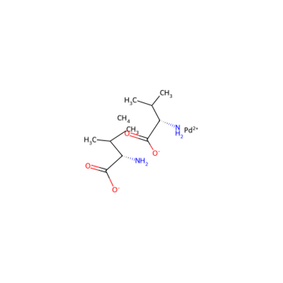 C.CC(C)[C@H](N)C(=O)[O-].CC(C)[C@H](N)C(=O)[O-].[Pd+2]